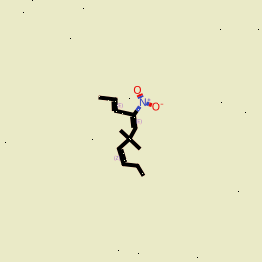 C/C=C/C(=C\C(C)(C)/C=C\CC)[N+](=O)[O-]